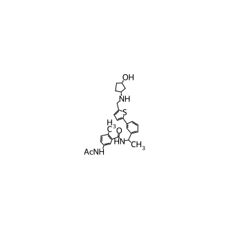 CC(=O)Nc1ccc(C)c(C(=O)NC(C)c2cccc(-c3ccc(CN[C@H]4CC[C@@H](O)C4)s3)c2)c1